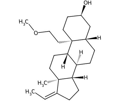 C/C=C1/CC[C@H]2[C@@H]3CC[C@H]4C[C@H](O)CC[C@]4(CCOC)[C@H]3CC[C@]12C